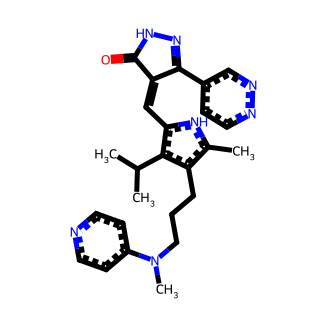 Cc1[nH]c(/C=C2/C(=O)NN=C2c2ccnnc2)c(C(C)C)c1CCCN(C)c1ccncc1